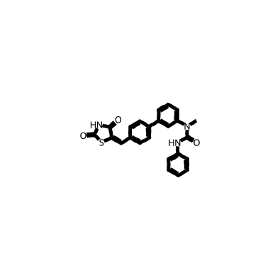 CN(C(=O)Nc1ccccc1)c1cccc(-c2ccc(/C=C3/SC(=O)NC3=O)cc2)c1